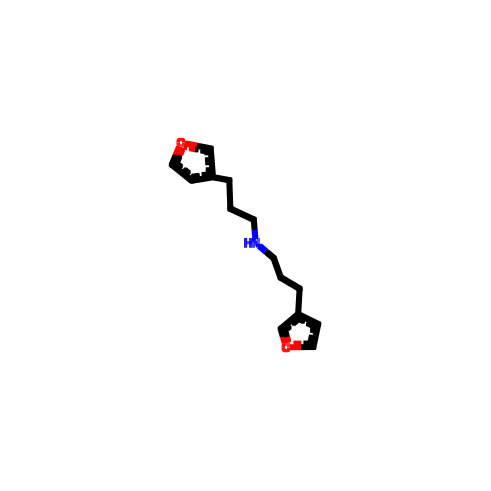 c1cc(CCCNCCCc2ccoc2)co1